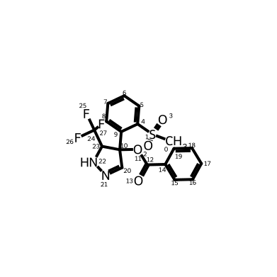 CS(=O)(=O)c1ccccc1C1(OC(=O)c2ccccc2)C=NNC1C(F)(F)F